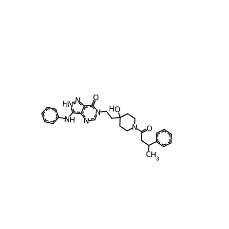 CC(CC(=O)N1CCC(O)(CCn2cnc3c(Nc4ccccc4)[nH]nc3c2=O)CC1)c1ccccc1